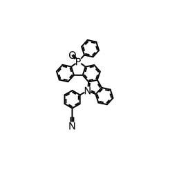 N#Cc1cccc(-n2c3ccccc3c3ccc4c(c32)-c2ccccc2P4(=O)c2ccccc2)c1